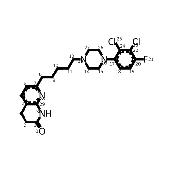 O=C1CCc2ccc(CCCCCN3CCN(c4ccc(F)c(Cl)c4Cl)CC3)nc2N1